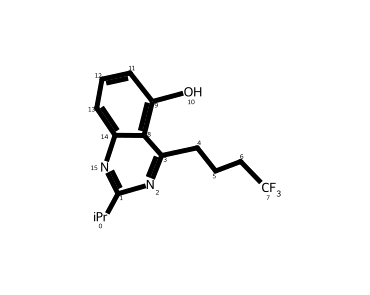 CC(C)c1nc(CCCC(F)(F)F)c2c(O)cccc2n1